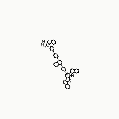 CC1(C)c2ccccc2-c2cc(-c3ccc(-c4ccc(-c5ccc(-c6cc7c8ccc9ccccc9c8sc7c7nc8c9ccccc9ccc8n67)cc5)c5ccccc45)cc3)ccc21